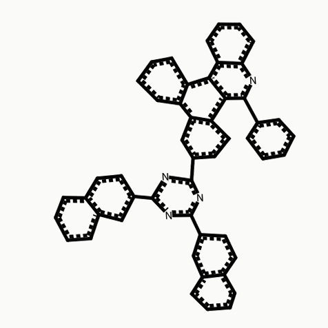 c1ccc(-c2nc3ccccc3c3c4ccccc4c4cc(-c5nc(-c6ccc7ccccc7c6)nc(-c6ccc7ccccc7c6)n5)ccc4c23)cc1